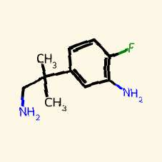 CC(C)(CN)c1ccc(F)c(N)c1